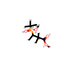 COC(=O)C(C)(C)C(C)P(=O)(OC)C(C)(C)C